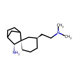 CN(C)CC[C@H]1CCC[C@@]2(C1)C1CCC(C1)[C@H]2N